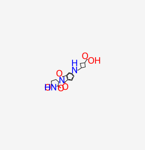 O=C1CCC(N2C(=O)c3ccc(NCC4CC(C(=O)O)C4)cc3C2=O)C(=O)N1